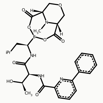 CC(C)C[C@H](NC(=O)[C@@H](NC(=O)c1cccc(-c2ccccc2)n1)[C@@H](C)O)B1OC(=O)[C@H]2COC[C@@H](C(=O)O1)N2C